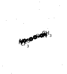 CC1(c2ccc(COc3ccc(-c4ccc(OCc5ccc(C6(C(F)(F)F)N=N6)cc5)cc4)cc3)cc2)N=N1